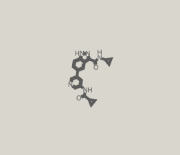 O=C(NC1CC1)c1n[nH]c2ccc(-c3cncc(NC(=O)C4CC4)c3)cc12